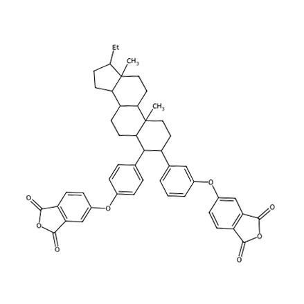 CCC1CCC2C3CCC4C(c5ccc(Oc6ccc7c(c6)C(=O)OC7=O)cc5)C(c5cccc(Oc6ccc7c(c6)C(=O)OC7=O)c5)CCC4(C)C3CCC12C